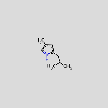 Cc1c[nH]c(CC(C)C)c1